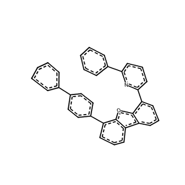 c1ccc(-c2ccc(-c3cccc4c3oc3c(-c5cccc(-c6ccccc6)n5)cccc34)cc2)cc1